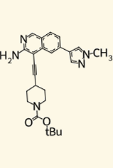 Cn1cc(-c2ccc3cnc(N)c(C#CC4CCN(C(=O)OC(C)(C)C)CC4)c3c2)cn1